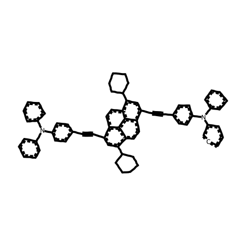 C(#Cc1cc(C2CCCCC2)c2ccc3c(C#Cc4ccc(N(c5ccccc5)c5ccccc5)cc4)cc(C4CCCCC4)c4ccc1c2c34)c1ccc(N(c2ccccc2)c2ccccc2)cc1